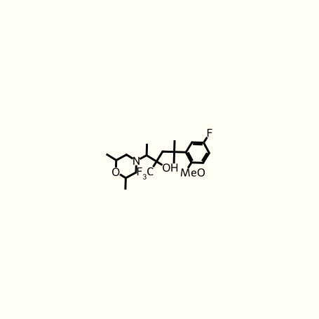 COc1ccc(F)cc1C(C)(C)CC(O)(C(C)N1CC(C)OC(C)C1)C(F)(F)F